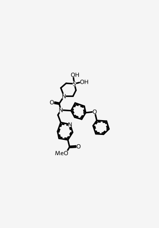 COC(=O)c1ccc(CN(C(=O)N2CCS(O)(O)CC2)c2ccc(Oc3ccccc3)cc2)nc1